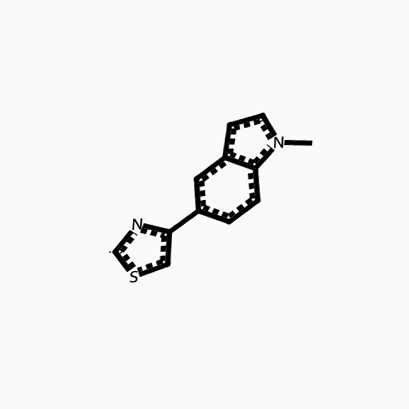 Cn1ccc2cc(-c3cs[c]n3)ccc21